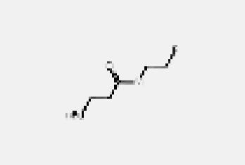 CCCCCCC(=O)NCCF